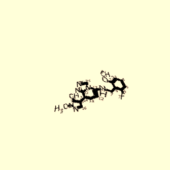 COc1cccc(F)c1CNc1ccc(-c2cnn(C)c2C)c2nncn12